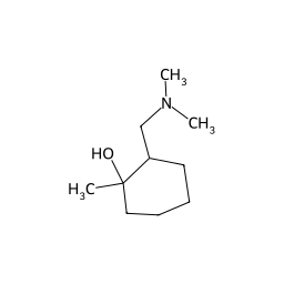 CN(C)CC1CCCCC1(C)O